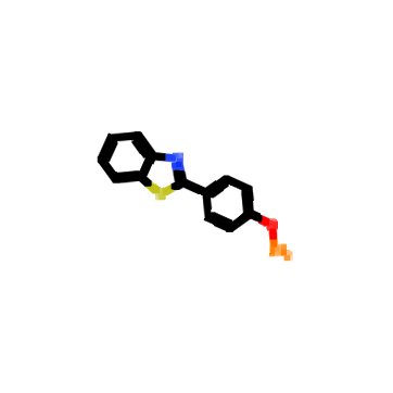 POc1ccc(-c2nc3ccccc3s2)cc1